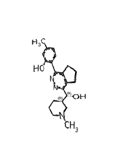 Cc1ccc(-c2nnc([C@H](O)[C@@H]3CCCN(C)C3)c3c2CCC3)c(O)c1